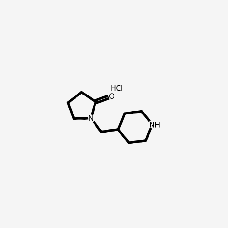 Cl.O=C1CCCN1CC1CCNCC1